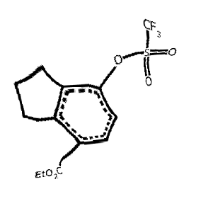 CCOC(=O)c1ccc(OS(=O)(=O)C(F)(F)F)c2c1CCC2